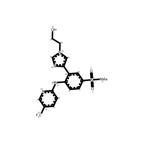 CNS(=O)(=O)c1ccc(Nc2ccc(C(F)(F)F)cn2)c(-c2cn(CCO)cn2)c1